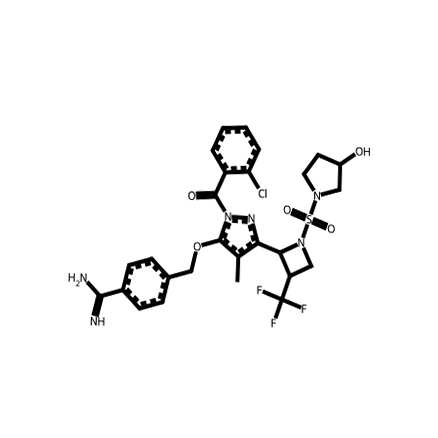 Cc1c(C2C(C(F)(F)F)CN2S(=O)(=O)N2CCC(O)C2)nn(C(=O)c2ccccc2Cl)c1OCc1ccc(C(=N)N)cc1